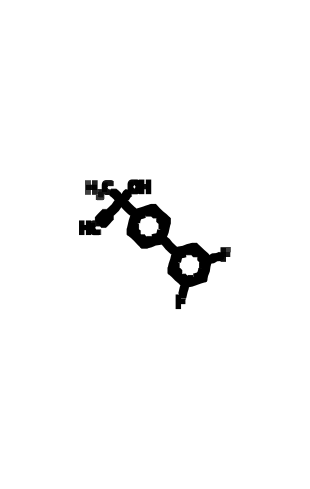 C#CC(C)(O)c1ccc(-c2cc(F)cc(F)c2)cc1